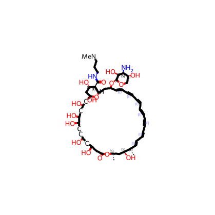 CNCCCNC(=O)[C@H]1[C@@H]2CC(O[C@@H]3OC[C@@H](O)[C@H](N)[C@@H]3O)/C=C/C=C/C=C/C=C/C=C/C=C/C=C/[C@H](C)[C@@H](O)C[C@H](C)OC(=O)CC(O)CC(O)CCC(O)C(O)CC(O)CC(O)(C[C@@H]1O)O2